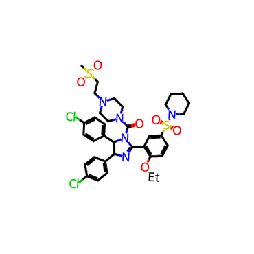 CCOc1ccc(S(=O)(=O)N2CCCCC2)cc1C1=NC(c2ccc(Cl)cc2)C(c2ccc(Cl)cc2)N1C(=O)N1CCN(CCS(C)(=O)=O)CC1